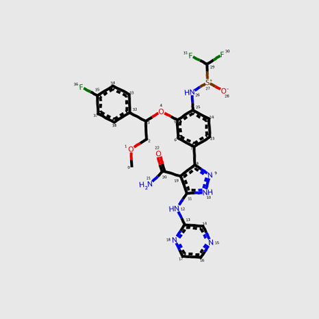 COCC(Oc1cc(-c2n[nH]c(Nc3cnccn3)c2C(N)=O)ccc1N[S+]([O-])C(F)F)c1ccc(F)cc1